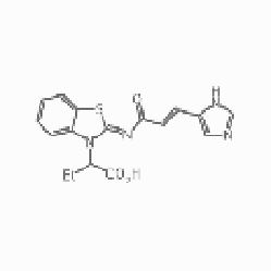 CCC(C(=O)O)n1c(=NC(=O)C=Cc2cnc[nH]2)sc2ccccc21